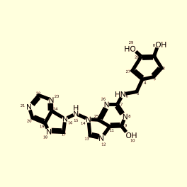 Oc1ccc(CNc2nc(O)c3ncn(Nn4cnc5cncnc54)c3n2)cc1O